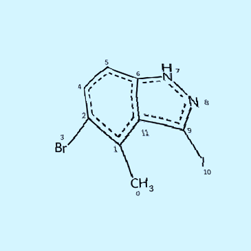 Cc1c(Br)ccc2[nH]nc(I)c12